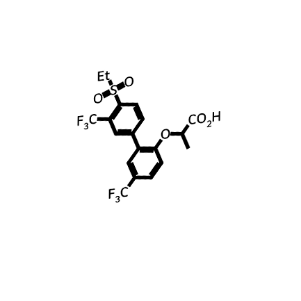 CCS(=O)(=O)c1ccc(-c2cc(C(F)(F)F)ccc2OC(C)C(=O)O)cc1C(F)(F)F